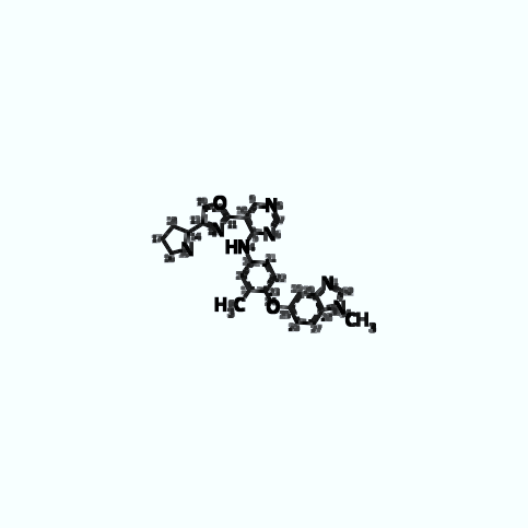 Cc1cc(Nc2ncncc2-c2nc(C3=NCCC3)co2)ccc1Oc1ccc2c(c1)ncn2C